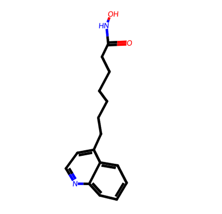 O=C(CCCCCCc1ccnc2ccccc12)NO